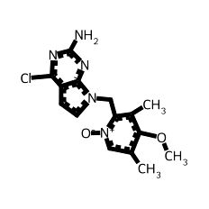 COc1c(C)c[n+]([O-])c(Cn2ccc3c(Cl)nc(N)nc32)c1C